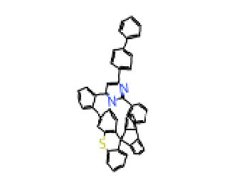 c1ccc(-c2ccc(-c3cc(-c4ccccc4-c4ccc5c(c4)Sc4ccccc4C54c5ccccc5-c5ccccc54)nc(-c4ccccc4)n3)cc2)cc1